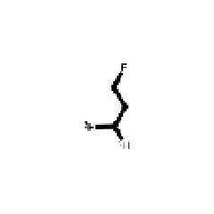 [2H][C]([2H])CCF